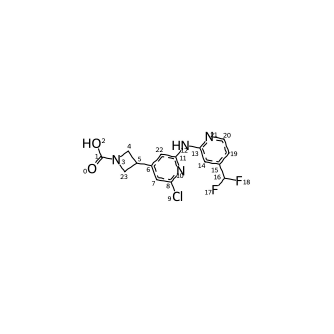 O=C(O)N1CC(c2cc(Cl)nc(Nc3cc(C(F)F)ccn3)c2)C1